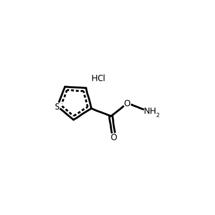 Cl.NOC(=O)c1ccsc1